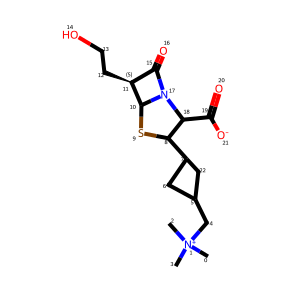 C[N+](C)(C)CC1CC(C2SC3[C@@H](CCO)C(=O)N3C2C(=O)[O-])C1